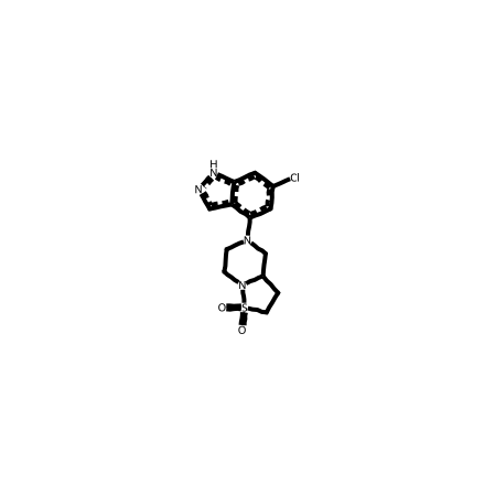 O=S1(=O)CCC2CN(c3cc(Cl)cc4[nH]ncc34)CCN21